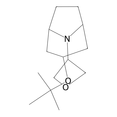 CC(C)(C)OC1CC2CCC(C1)N2C1COC1